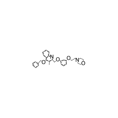 Cc1c(COc2cccc(OCCN3CCOCC3)c2)nc2ccccc2c1OCc1ccccc1